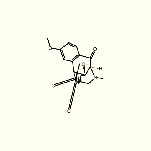 COc1ccc2c(c1)[C@]13CCN(C)[C@H](C2=O)[C@]1(O)CCNC(=O)NC(=O)C3